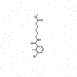 COC(=O)CCCCCNC(=O)c1cccc(Br)c1C